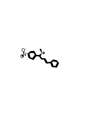 CN(C)C(CC=Cc1ccccc1)c1ccc([N+](=O)[O-])cc1